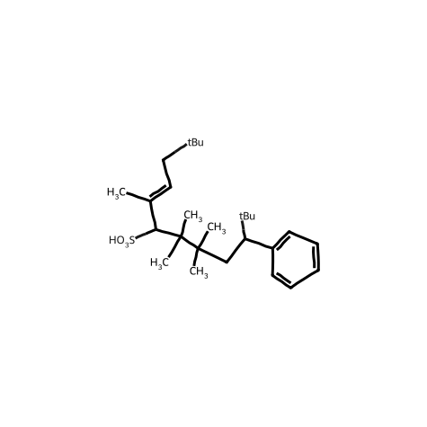 CC(=CCC(C)(C)C)C(C(C)(C)C(C)(C)CC(c1ccccc1)C(C)(C)C)S(=O)(=O)O